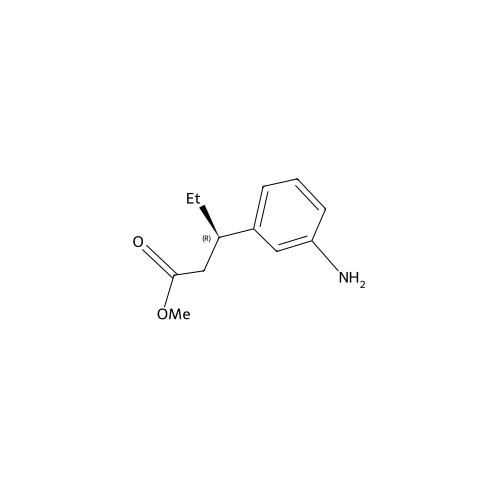 CC[C@H](CC(=O)OC)c1cccc(N)c1